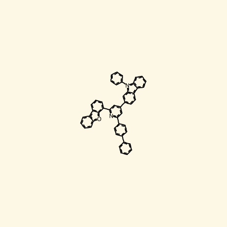 c1ccc(-c2ccc(-c3cc(-c4ccc5c6ccccc6n(-c6ccccc6)c5c4)cc(-c4cccc5c4oc4ccccc45)n3)cc2)cc1